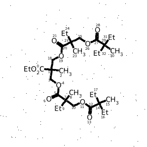 CCOC(=O)C(C)(COC(=O)C(C)(CC)COC(=O)C(C)(CC)CC)COC(=O)C(C)(CC)COC(=O)C(C)(CC)CC